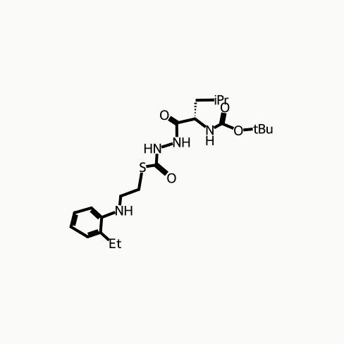 CCc1ccccc1NCCSC(=O)NNC(=O)[C@H](CC(C)C)NC(=O)OC(C)(C)C